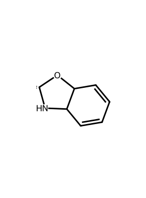 [C]1NC2C=CC=CC2O1